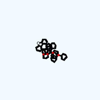 c1ccc(-c2ccc(-c3c4ccccc4c(-c4cccc5oc6cccc(-c7c8ccccc8c(-c8ccccc8)c8ccccc78)c6c45)c4ccccc34)c3ccccc23)cc1